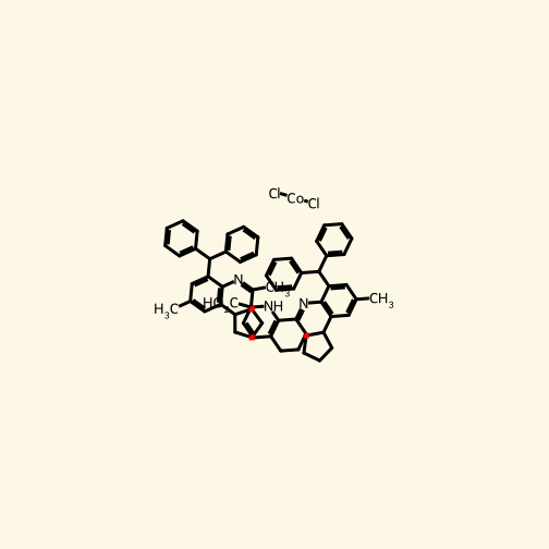 CC(=Nc1c(C2CCCC2)cc(C)cc1C(c1ccccc1)c1ccccc1)C1(C(=O)O)C=CC2=C(N1)C(=Nc1c(C3CCCC3)cc(C)cc1C(c1ccccc1)c1ccccc1)CCC2.[Cl][Co][Cl]